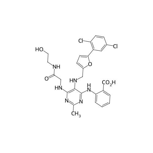 Cc1nc(NCC(=O)NCCO)c(NCc2ccc(-c3cc(Cl)ccc3Cl)o2)c(Nc2ccccc2C(=O)O)n1